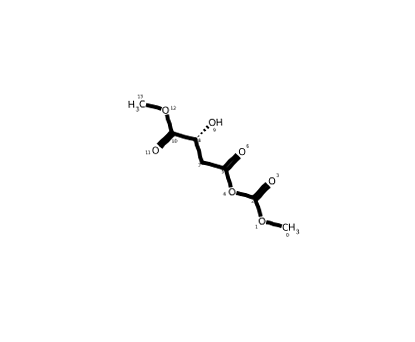 COC(=O)OC(=O)C[C@@H](O)C(=O)OC